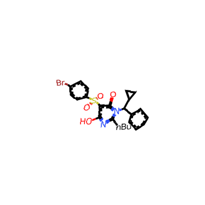 CCCCc1nc(O)c(S(=O)(=O)c2ccc(Br)cc2)c(=O)n1C(c1ccccc1)C1CC1